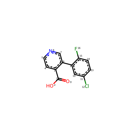 O=C(O)c1ccncc1-c1cc(Cl)ccc1F